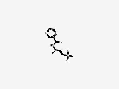 C[C@H](/C=C/S(C)(=O)=O)NC(=O)c1cnccn1